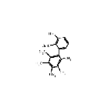 Cc1cccc(-c2c(C)c(C)c(C)c(C)c2C)c1C=O